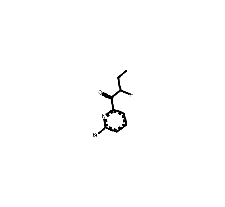 CCC(F)C(=O)c1cccc(Br)n1